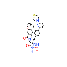 COc1ccc2c(c1)C(=O)N(C[C@@]1(C#Cc3ccc(-c4cccc(N5CCSCC5)n4)cc3)NC(=O)NC1=O)C2